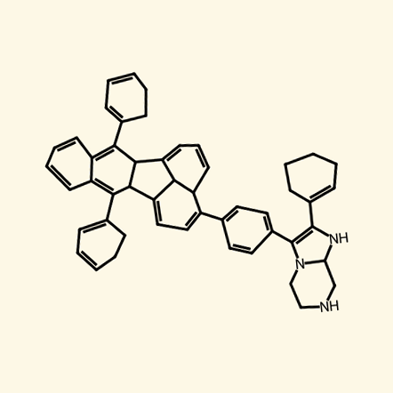 C1=CCCC(C2=c3ccccc3=C(C3=CC=CCC3)C3C4=CC=C(c5ccc(C6=C(C7=CCCCC7)NC7CNCCN67)cc5)C5C=CC=C(C45)C23)=C1